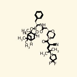 CC1(C)[C@@H]2C[C@H]3OB([C@H](Cc4ccccc4)NC(=O)C[C@H]4CN(C(=O)/C(C#N)=C/C(C)(C)N5CCC(F)(F)C5)CCO4)O[C@@]3(C)[C@H]1C2